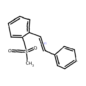 CS(=O)(=O)c1ccccc1/C=C/c1cc[c]cc1